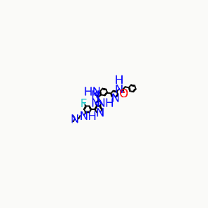 CN(C)CCNc1cc(F)cc(-c2cncc3[nH]c(-c4n[nH]c5ccc(-c6cncc(NC(=O)Cc7ccccc7)c6)cc45)nc23)c1